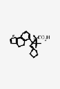 CC1(C)C(C=C2CCCC2)(c2cccc3c2CCc2ccsc2-3)[C@]1(C)C(=O)O